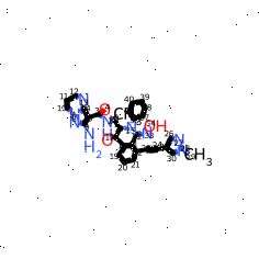 C[C@H](NC(=O)c1c(N)nn2cccnc12)C1C(=O)c2cccc(C#Cc3cnn(C)c3)c2C(=NO)N1c1ccccc1